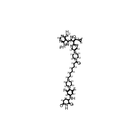 CC(C)n1nc(-c2noc(C3CC3)c2-c2ncc(N3CCN(C(=O)CCCCCCCN4CCN(c5c(F)cc(NC6CCC(=O)NC6=O)cc5F)CC4)CC3)cn2)c2c(N)ncnc21